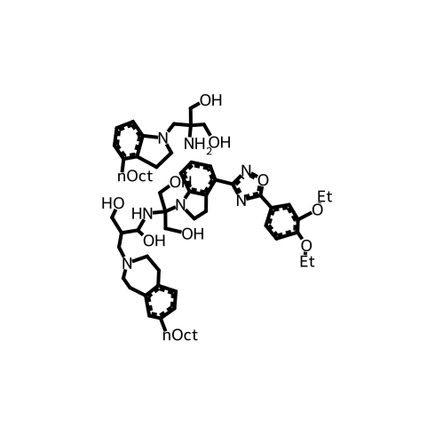 CCCCCCCCc1ccc2c(c1)CCN(CC(CO)C(O)NC(CO)(CO)N1CCc3c(-c4noc(-c5ccc(OCC)c(OCC)c5)n4)cccc31)CC2.CCCCCCCCc1cccc2c1CCN2CC(N)(CO)CO